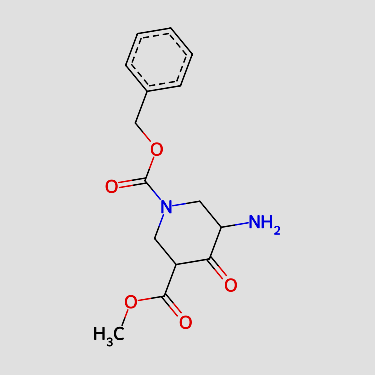 COC(=O)C1CN(C(=O)OCc2ccccc2)CC(N)C1=O